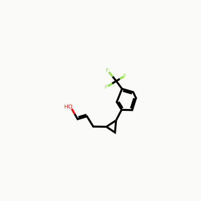 O/C=C/CC1CC1c1cccc(C(F)(F)F)c1